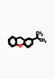 C=C(C)c1ccc2c(c1)Cc1ccccc1O2